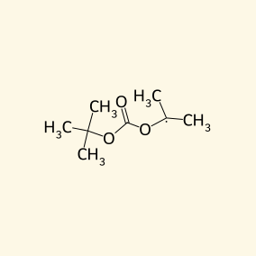 C[C](C)OC(=O)OC(C)(C)C